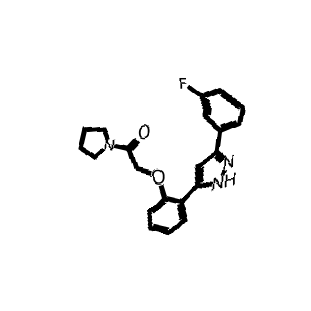 O=C(COc1ccccc1-c1cc(-c2cccc(F)c2)n[nH]1)N1CCCC1